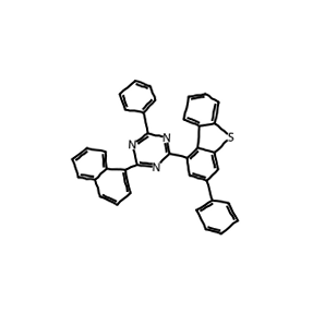 c1ccc(-c2cc(-c3nc(-c4ccccc4)nc(-c4cccc5ccccc45)n3)c3c(c2)sc2ccccc23)cc1